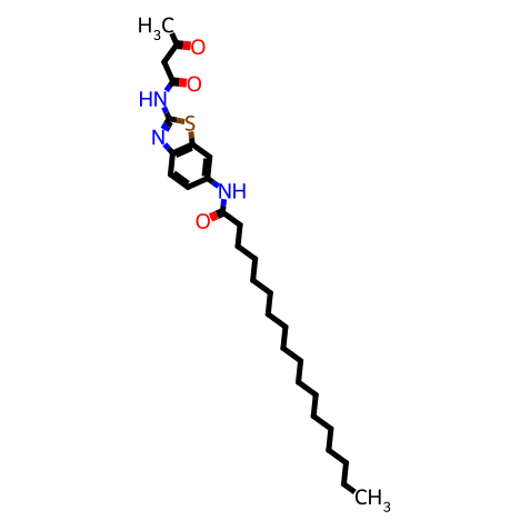 CCCCCCCCCCCCCCCCCC(=O)Nc1ccc2nc(NC(=O)CC(C)=O)sc2c1